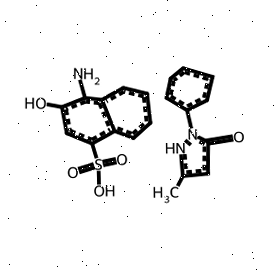 Cc1cc(=O)n(-c2ccccc2)[nH]1.Nc1c(O)cc(S(=O)(=O)O)c2ccccc12